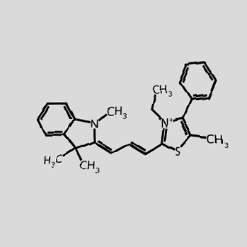 CC[n+]1c(/C=C/C=C2\N(C)c3ccccc3C2(C)C)sc(C)c1-c1ccccc1